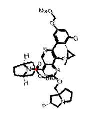 COCOc1cc(Cl)c([C@@H]2C[C@H]2C)c(-c2ncc3c(N4C[C@H]5CC[C@@H](C4)N5C(=O)OC(C)(C)C)nc(OC[C@@]45CCCN4C[C@H](F)C5)nc3c2F)c1